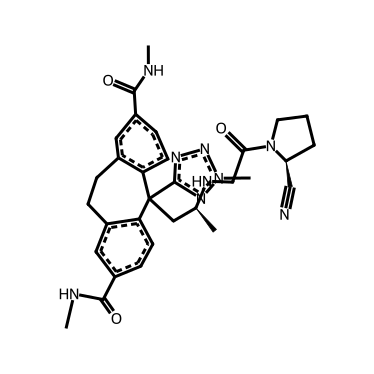 CNC(=O)c1ccc2c(c1)CCc1cc(C(=O)NC)ccc1C2(C[C@H](C)NCC(=O)N1CCC[C@H]1C#N)c1nnn(C)n1